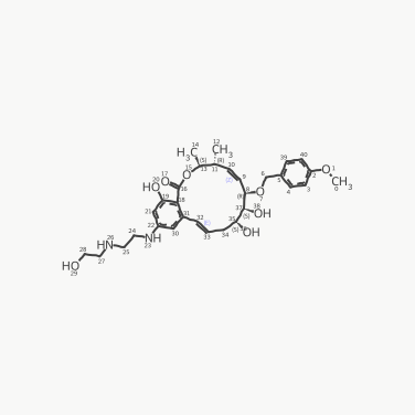 COc1ccc(CO[C@@H]2/C=C\[C@@H](C)[C@H](C)OC(=O)c3c(O)cc(NCCNCCO)cc3/C=C/C[C@H](O)[C@@H]2O)cc1